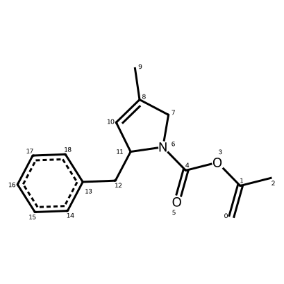 C=C(C)OC(=O)N1CC(C)=CC1Cc1ccccc1